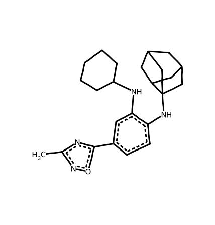 Cc1noc(-c2ccc(NC34CC5CC(CC3C5)C4)c(NC3CCCCC3)c2)n1